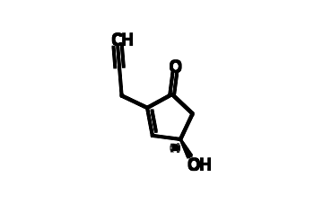 C#CCC1=C[C@H](O)CC1=O